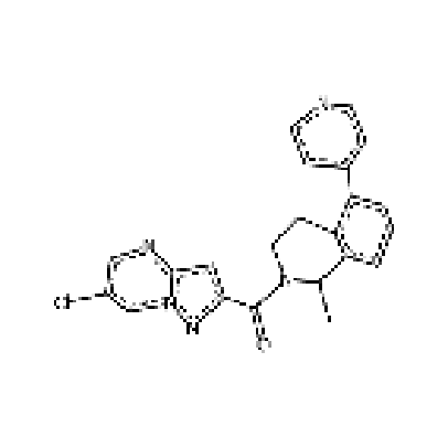 CC1c2cccc(-c3ccncc3)c2CCN1C(=O)c1cc2ncc(Cl)cn2n1